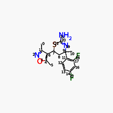 Cc1noc(C)c1C1CC(C)(c2ccc(F)cc2F)N=C(N)S1